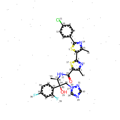 Cc1nc(-c2sc(-c3ccc(Cl)cc3)nc2C)sc1C(=O)N[C@H](C)[C@](O)(Cn1cncn1)c1ccc(F)cc1F